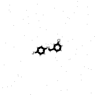 Fc1ccc(N=Cc2cccc(Cl)c2)cc1